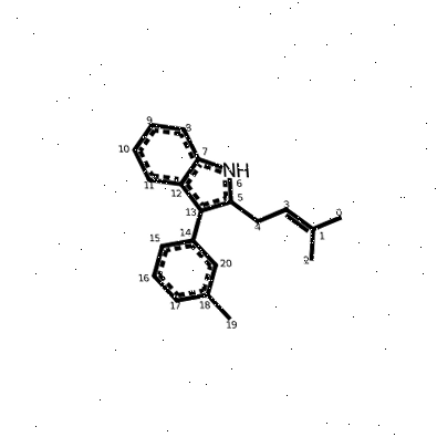 CC(C)=CCc1[nH]c2ccccc2c1-c1cccc(C)c1